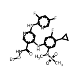 CCONC(=O)c1cnc(Nc2ncc(F)cc2F)cc1Nc1cc(F)c(C2CC2)cc1N(C)S(C)(=O)=O